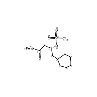 CCCCCC(=O)C[S+](CC1CCCCC1)OS(=O)(=O)C(F)(F)F